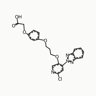 O=C(O)COc1ccc(OCCCOc2cnc(Cl)cc2-n2nc3ccccc3n2)cc1